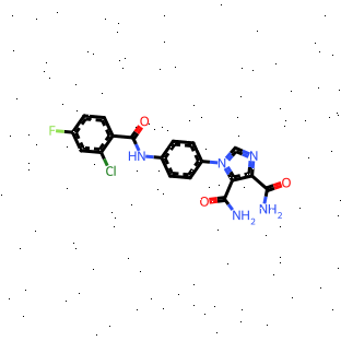 NC(=O)c1ncn(-c2ccc(NC(=O)c3ccc(F)cc3Cl)cc2)c1C(N)=O